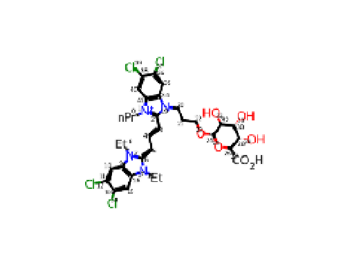 CCC[n+]1c(C=CC=C2N(CC)c3cc(Cl)c(Cl)cc3N2CC)n(CCCO[C@@H]2OC(C(=O)O)[C@@H](O)[C@@H](O)C2O)c2cc(Cl)c(Cl)cc21